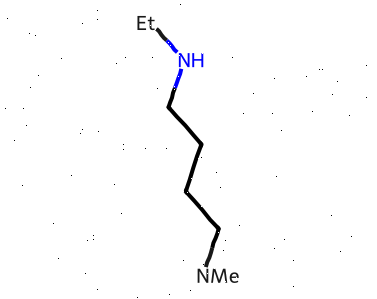 [CH2]CNCCCCNC